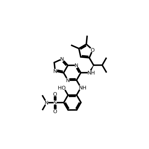 Cc1cc([C@H](Nc2nc3c(nc2Nc2cccc(S(=O)(=O)N(C)C)c2O)=NCN=3)C(C)C)oc1C